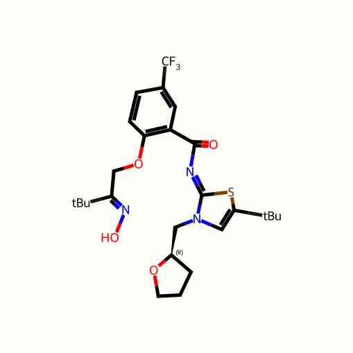 CC(C)(C)C(COc1ccc(C(F)(F)F)cc1C(=O)N=c1sc(C(C)(C)C)cn1C[C@H]1CCCO1)=NO